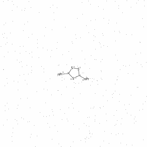 CCCC1SSC(CCC)S1